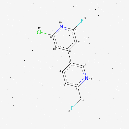 FCc1ccc(-c2cc(F)nc(Cl)c2)cn1